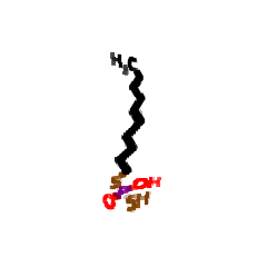 CCCCCCCCCCSP(=O)(O)S